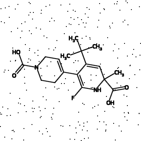 CC(C)(C)C1=CC(C)(C(=O)O)NC(F)=C1C1=CCN(C(=O)O)CC1